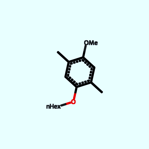 CCCCCCOc1cc(C)c(OC)cc1C